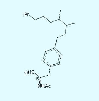 CC(=O)N[C@@H](C=O)Cc1ccc(CCC(C)C(C)CCCC(C)C)cc1